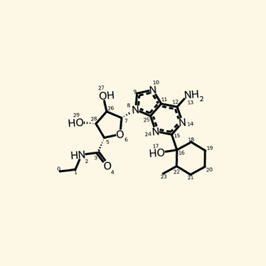 CCNC(=O)[C@H]1O[C@@H](n2cnc3c(N)nc(C4(O)CCCCC4C)nc32)C(O)[C@H]1O